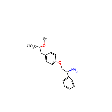 CCOC(=O)[C@H](Cc1ccc(OC[C@@H](N)c2ccccc2)cc1)OCC